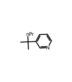 CCCC(C)(C)c1cccnc1